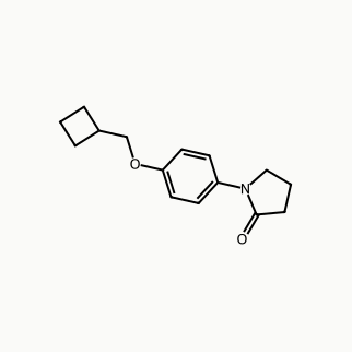 O=C1CCCN1c1ccc(OCC2CCC2)cc1